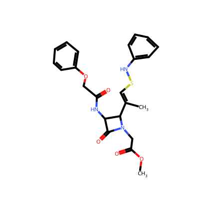 COC(=O)CN1C(=O)C(NC(=O)COc2ccccc2)C1C(C)=CSNc1ccccc1